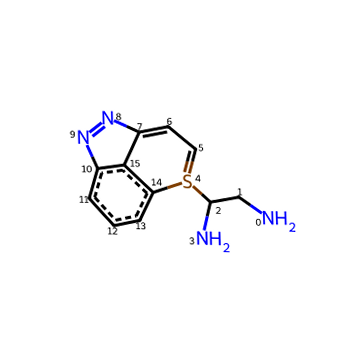 NCC(N)S1=CC=C2N=Nc3cccc1c32